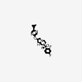 O=S(=O)(c1ccc(F)cc1F)N1CCN2C[C@H](Oc3cnc(C4CC4)cn3)C[C@H]2C1